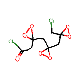 O=C(Cl)CC1(CC2(CC3(CCl)OO3)OO2)OO1